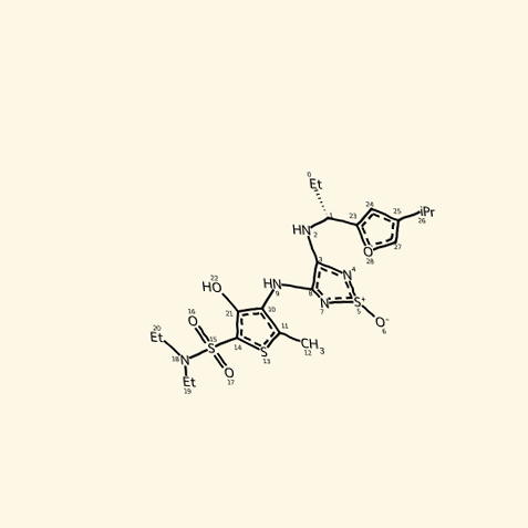 CC[C@@H](Nc1n[s+]([O-])nc1Nc1c(C)sc(S(=O)(=O)N(CC)CC)c1O)c1cc(C(C)C)co1